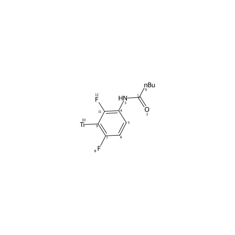 CCCCC(=O)Nc1ccc(F)[c]([Ti])c1F